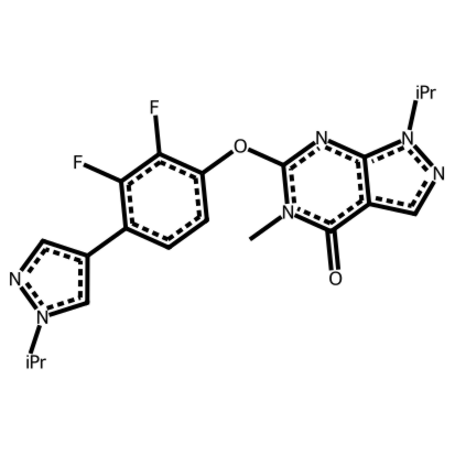 CC(C)n1cc(-c2ccc(Oc3nc4c(cnn4C(C)C)c(=O)n3C)c(F)c2F)cn1